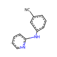 N#Cc1cccc(Nc2cc[c]cn2)c1